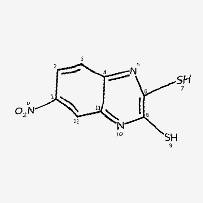 O=[N+]([O-])c1ccc2nc(S)c(S)nc2c1